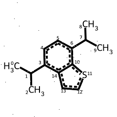 CC(C)c1ccc(C(C)C)c2sccc12